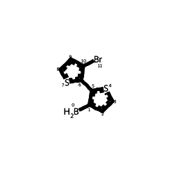 Bc1ccsc1-c1sccc1Br